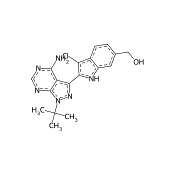 CC(C)(C)n1nc(-c2[nH]c3cc(CO)ccc3c2Cl)c2c(N)ncnc21